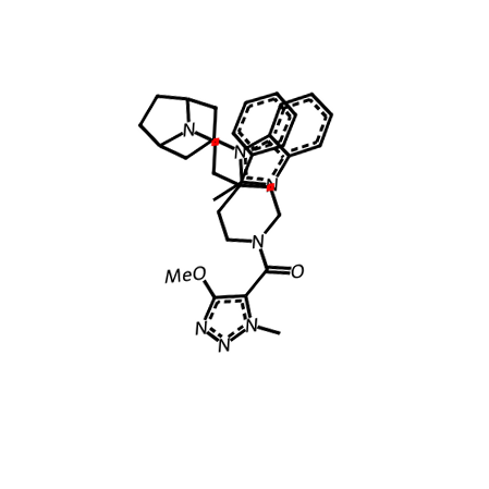 COc1nnn(C)c1C(=O)N1CCC(CCN2C3CCC2CC(n2c(C)nc4ccccc42)C3)(c2ccccc2)CC1